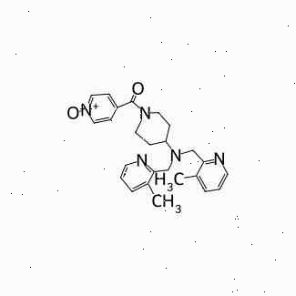 Cc1cccnc1CN(Cc1ncccc1C)C1CCN(C(=O)c2cc[n+]([O-])cc2)CC1